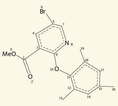 COC(=O)c1cc(Br)cnc1Oc1c(C)cc(C)cc1C